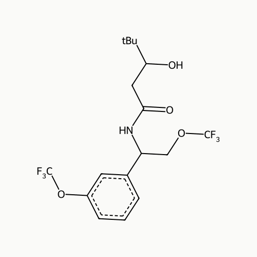 CC(C)(C)C(O)CC(=O)NC(COC(F)(F)F)c1cccc(OC(F)(F)F)c1